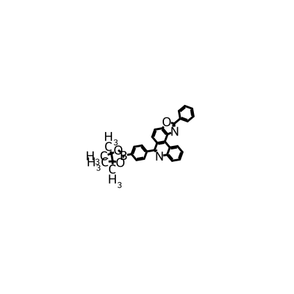 CC1(C)OB(c2ccc(-c3nc4ccccc4c4c3ccc3oc(-c5ccccc5)nc34)cc2)OC1(C)C